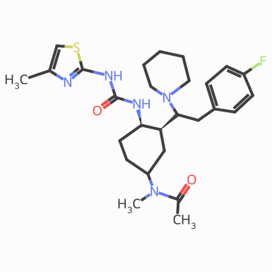 CC(=O)N(C)C1CC[C@@H](NC(=O)Nc2nc(C)cs2)[C@@H](C(Cc2ccc(F)cc2)N2CCCCC2)C1